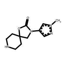 Cn1cc(N2CC3(CCNCC3)OC2=O)cn1